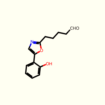 O=CCCCCc1ncc(-c2ccccc2O)o1